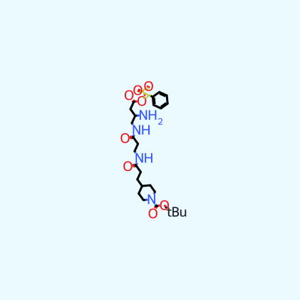 CC(C)(C)OC(=O)N1CCC(CCC(=O)NCCC(=O)NCC(N)CC(=O)OS(=O)(=O)c2ccccc2)CC1